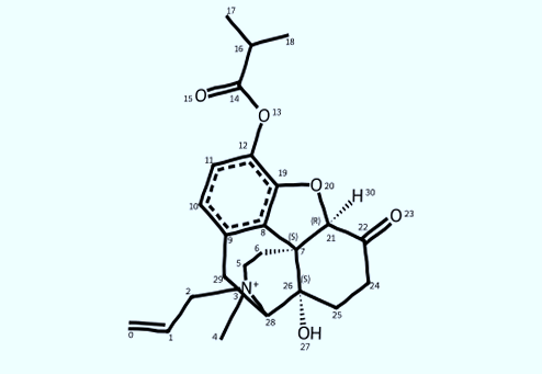 C=CC[N+]1(C)CC[C@]23c4c5ccc(OC(=O)C(C)C)c4O[C@H]2C(=O)CC[C@@]3(O)C1C5